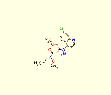 CCCN(OC)C(=O)c1cnn(-c2ccnc3cc(Cl)ccc23)c1COC